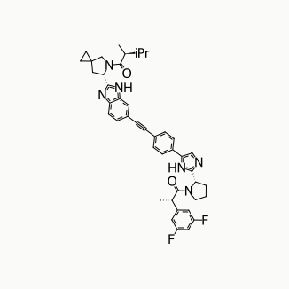 CC(C)[C@H](C)C(=O)N1CC2(CC2)C[C@H]1c1nc2ccc(C#Cc3ccc(-c4cnc([C@@H]5CCCN5C(=O)[C@@H](C)c5cc(F)cc(F)c5)[nH]4)cc3)cc2[nH]1